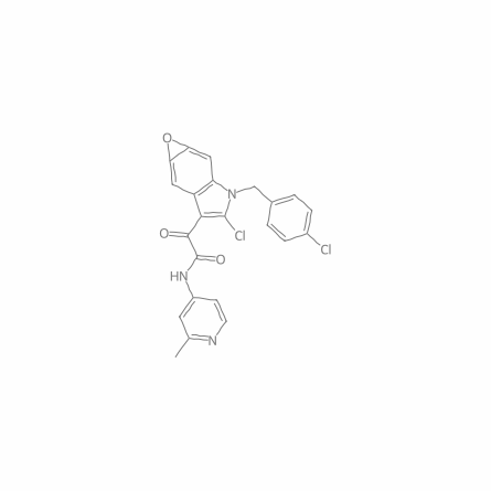 Cc1cc(NC(=O)C(=O)c2c(Cl)n(Cc3ccc(Cl)cc3)c3cc4c(cc23)O4)ccn1